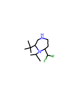 CC(C)N1C(C(F)F)CCNCC1C(C)(C)C